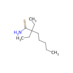 CCCCCC(CC)(CC)C(N)=S